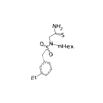 CCCCCCN(CC(N)=S)S(=O)(=O)Cc1cccc(CC)c1